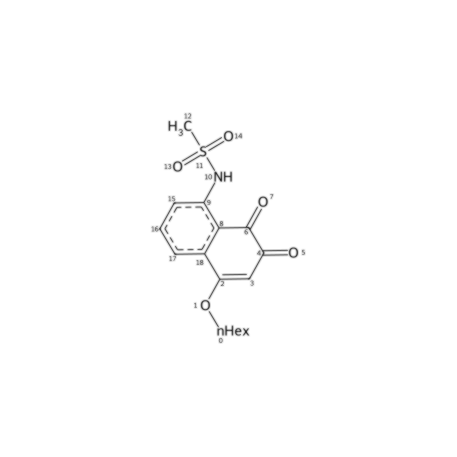 CCCCCCOC1=CC(=O)C(=O)c2c(NS(C)(=O)=O)cccc21